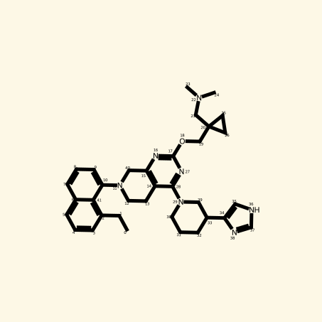 CCc1cccc2cccc(N3CCc4c(nc(OCC5(CN(C)C)CC5)nc4N4CCCC(c5c[nH]cn5)C4)C3)c12